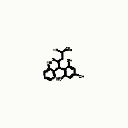 CC(O)CC(O)C(c1ccccc1O)c1c(O)cc(O)cc1O